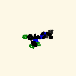 C=CCC(CC)(CC)CN1CCN(CCc2nn(-c3ccc(Cl)cc3Cl)c(-c3ccc(Cl)cc3)c2C)CC1